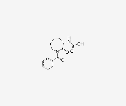 O=C(O)N[C@H]1CCCCN(C(=O)c2ccccc2)C1=O